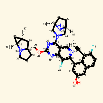 C#Cc1c(F)ccc2cc(O)cc(-c3ncc4c(N5C[C@H]6CC[C@@H](C5)N6)nc(OC[C@]56CCCN5[C@H]5C[C@H]5C6)nc4c3F)c12